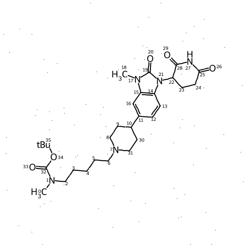 CN(CCCCCN1CCC(c2ccc3c(c2)n(C)c(=O)n3C2CCC(=O)NC2=O)CC1)C(=O)OC(C)(C)C